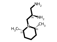 C[C@@H]1CCC[C@H](C)N1C[C@H](N)CN